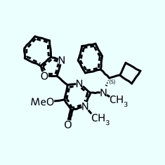 COc1c(-c2nc3ccccc3o2)nc(N(C)[C@H](c2ccccc2)C2CCC2)n(C)c1=O